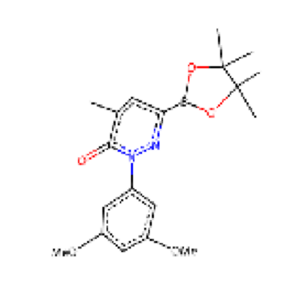 COc1cc(OC)cc(-n2nc(B3OC(C)(C)C(C)(C)O3)cc(C)c2=O)c1